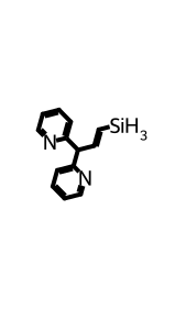 [SiH3]C=CC(c1ccccn1)c1ccccn1